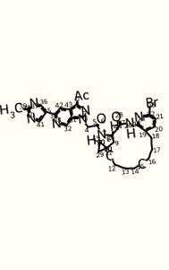 CC(=O)c1nn(CC(=O)N2[C@H]3C[C@@]4(CCCCCCCCc5ccc(Br)nc5NC3=O)C[C@@H]24)c2cnc(-c3cnc(C)nc3)cc12